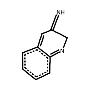 N=C1C=c2ccccc2=NC1